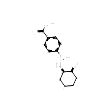 O=C1CCCCC1=NNc1ccc(C(=O)O)cc1